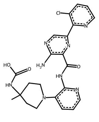 CC1(NC(=O)O)CCN(c2cccnc2NC(=O)c2nc(-c3ncccc3Cl)cnc2N)CC1